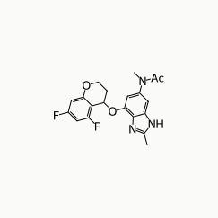 CC(=O)N(C)c1cc(OC2CCOc3cc(F)cc(F)c32)c2nc(C)[nH]c2c1